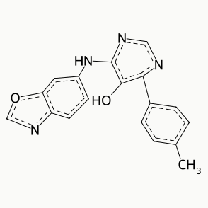 Cc1ccc(-c2ncnc(Nc3ccc4ncoc4c3)c2O)cc1